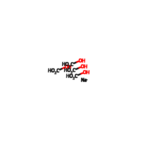 O=C(O)O.O=C(O)O.O=C(O)O.O=C(O)O.[Na]